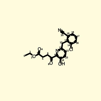 CCOC(=O)CCC(=O)c1nc(Cc2c(Cl)cccc2C#N)ccc1O